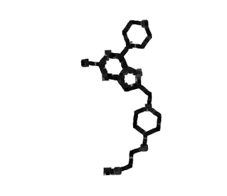 COCCOC1CCN(Cc2cc3nc(Cl)nc(N4CCOCC4)c3s2)CC1